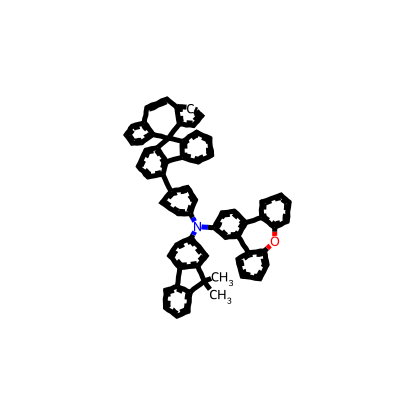 CC1(C)c2ccccc2-c2ccc(N(c3ccc(-c4cccc5c4-c4ccccc4C54c5ccccc5C=Cc5ccccc54)cc3)c3ccc4c(c3)-c3ccccc3Oc3ccccc3-4)cc21